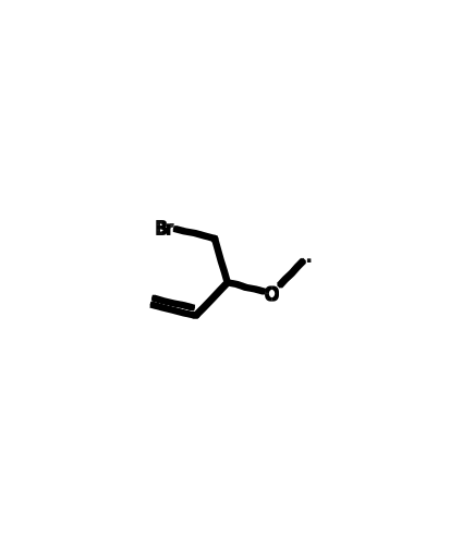 [CH2]OC(C=C)CBr